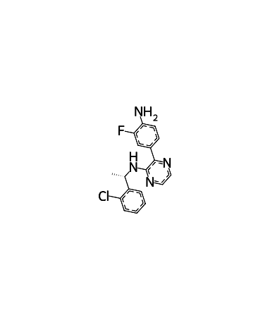 C[C@H](Nc1nccnc1-c1ccc(N)c(F)c1)c1ccccc1Cl